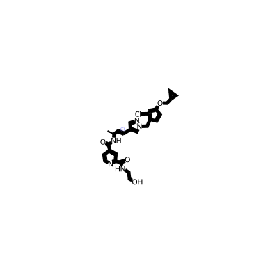 C[C@@H](/C=C/c1cnn(Cc2ccc(OCC3CC3)cc2Cl)c1)NC(=O)c1ccnc(C(=O)NCCO)c1